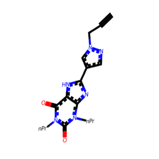 C#CCn1cc(-c2nc3c([nH]2)c(=O)n(CCC)c(=O)n3CCC)cn1